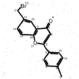 Cc1ccc(-c2cc(=O)c3cc(CBr)ccc3o2)cc1